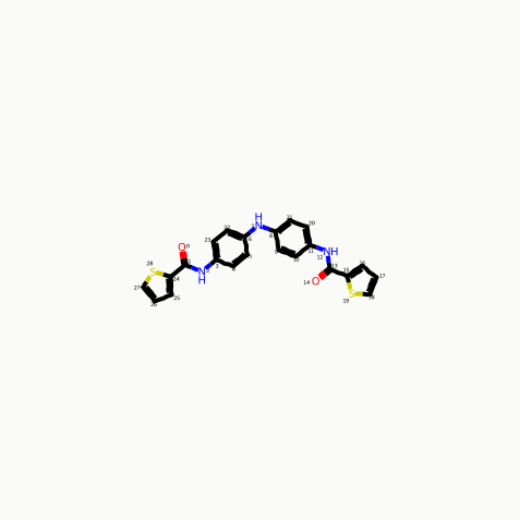 O=C(Nc1ccc(Nc2ccc(NC(=O)c3cccs3)cc2)cc1)c1cccs1